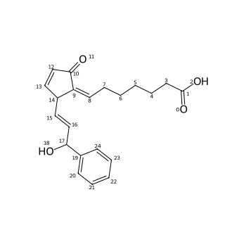 O=C(O)CCCCCC=C1C(=O)C=CC1C=CC(O)c1ccccc1